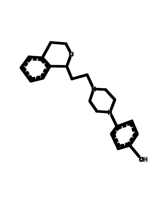 Oc1ccc(N2CCN(CCC3OCCc4ccccc43)CC2)cc1